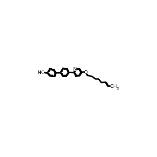 C/C=C/CCCCCOc1ccc(-c2ccc(-c3ccc(C#N)cc3)cc2)nc1